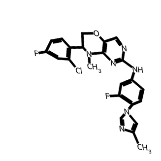 Cc1cn(-c2ccc(Nc3ncc4c(n3)N(C)C(c3ccc(F)cc3Cl)CO4)cc2F)cn1